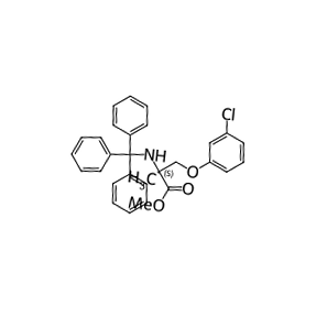 COC(=O)[C@](C)(COc1cccc(Cl)c1)NC(c1ccccc1)(c1ccccc1)c1ccccc1